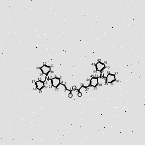 O=C(C=Cc1ccc(N(c2ccccc2)c2ccccc2)cc1)OC(=O)C=Cc1ccc(N(c2ccccc2)c2ccccc2)cc1